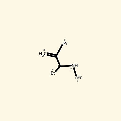 C=C(C(C)C)C(CC)NCCC